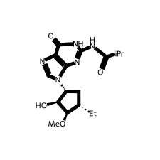 CC[C@H]1C[C@@H](n2cnc3c(=O)[nH]c(NC(=O)C(C)C)nc32)[C@H](O)[C@@H]1OC